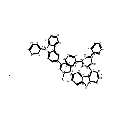 CN1C=C(c2ccc3c(c2)c2ccccc2n3-c2ccccc2)C=CC1c1ccc2oc3cccc(-c4nc(-c5ccccc5)nc(-c5ccccc5)n4)c3c2c1